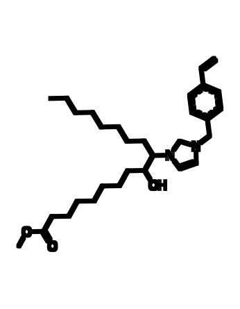 C=Cc1ccc(CN2C=CN(C(CCCCCCCC)C(O)CCCCCCCC(=O)OC)C2)cc1